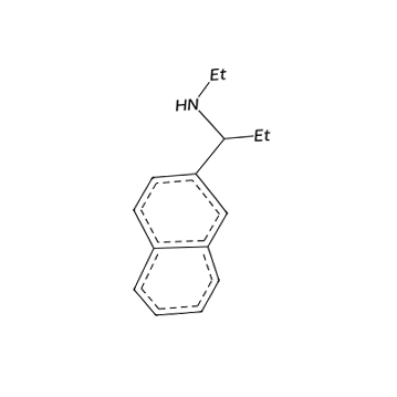 CCNC(CC)c1ccc2ccccc2c1